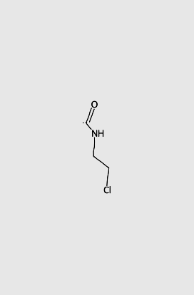 O=[C]NCCCl